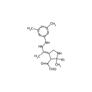 CCC1(C)NCC(=C(C)NNc2cc(C)cc(C)c2)C1C(=O)C=O